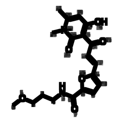 COCCCNC(=O)c1ccc(/C=C/C(=O)c2c(O)cc(C)n(C)c2=O)o1